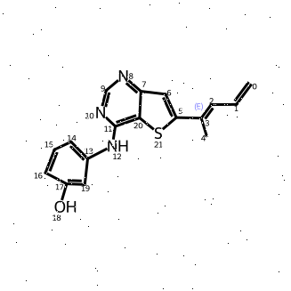 C=C/C=C(\C)c1cc2ncnc(Nc3cccc(O)c3)c2s1